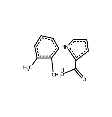 Cc1ccccc1C.O=C(O)c1ccc[nH]1